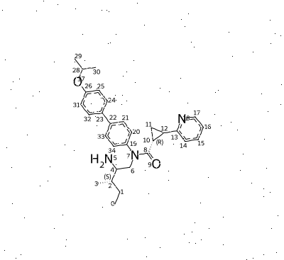 CC[C@H](C)C(N)CN(C(=O)[C@@H]1CC1c1ccccn1)c1ccc(-c2ccc(OC(C)C)cc2)cc1